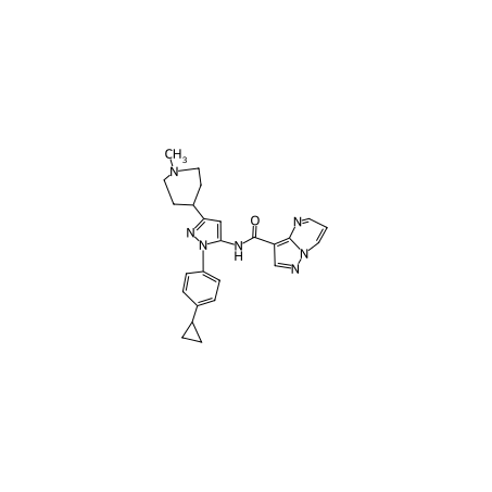 CN1CCC(c2cc(NC(=O)c3cnn4cccnc34)n(-c3ccc(C4CC4)cc3)n2)CC1